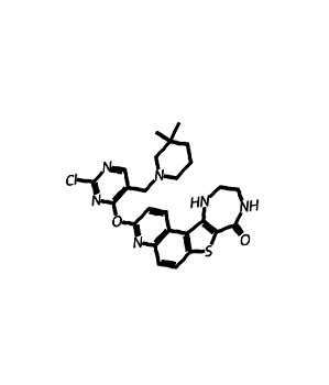 CC1(C)CCCN(Cc2cnc(Cl)nc2Oc2ccc3c(ccc4sc5c(c43)NCCNC5=O)n2)C1